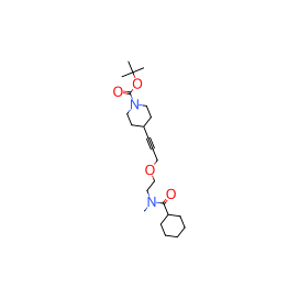 CN(CCOCC#CC1CCN(C(=O)OC(C)(C)C)CC1)C(=O)C1CCCCC1